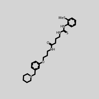 CSc1ccccc1NC(=S)NCCCC(=O)NCCCOc1cccc(CN2CCCCC2)c1